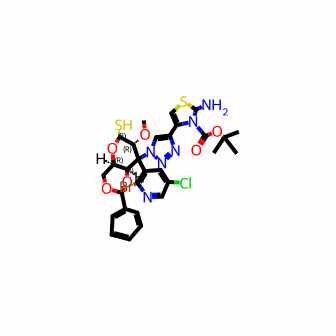 CO[C@H]1[C@@H](S)O[C@@H]2COC(c3ccccc3)O[C@@H]2C1(c1cc(Cl)cnc1Br)n1cc(C2=CSC(N)N2C(=O)OC(C)(C)C)nn1